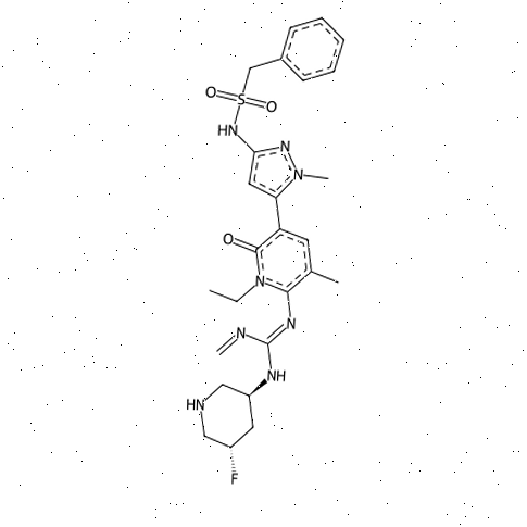 C=N/C(=N\c1c(C)cc(-c2cc(NS(=O)(=O)Cc3ccccc3)nn2C)c(=O)n1CC)N[C@@H]1CNC[C@@H](F)C1